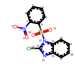 O=[N+]([O-])c1ccccc1S(=O)(=O)n1c(Cl)nc2ccccc21